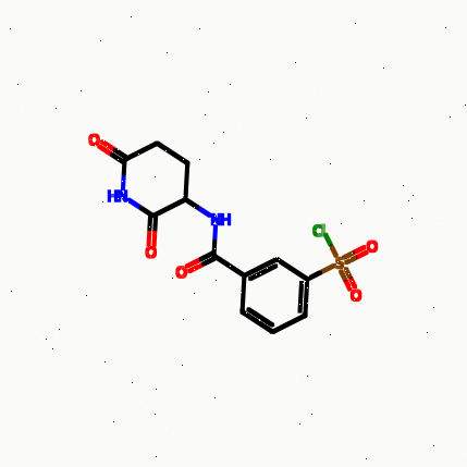 O=C1CCC(NC(=O)c2cccc(S(=O)(=O)Cl)c2)C(=O)N1